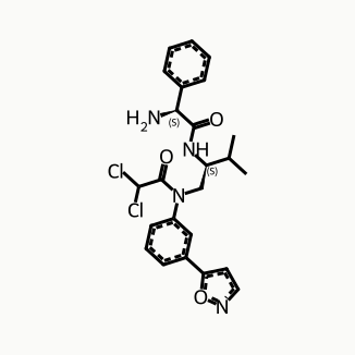 CC(C)[C@@H](CN(C(=O)C(Cl)Cl)c1cccc(-c2ccno2)c1)NC(=O)[C@@H](N)c1ccccc1